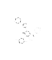 CCc1ccc(Cl)cc1-n1c(CC(C)C)c(C(=O)N2CCNCC2)cc(-c2nc(-c3ccc(C(F)(F)F)nc3)cs2)c1=O